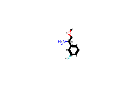 COC[C@H](N)c1cccc(F)c1